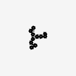 c1cc(-c2ccc(N(c3ccc(-c4ccc(-c5cccc6ccccc56)cc4)cc3)c3ccc(-c4cccc5c4sc4ccccc45)cc3)cc2)cc(-n2c3ccccc3c3ccccc32)c1